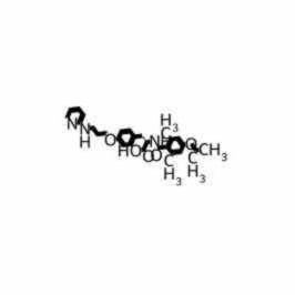 Cc1cc(OC(C)C)cc(C)c1C(=O)N[C@@H](Cc1ccc(OCCCNc2ccccn2)cc1)C(=O)O